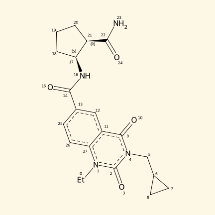 CCn1c(=O)n(CC2CC2)c(=O)c2cc(C(=O)N[C@H]3CCC[C@H]3C(N)=O)ccc21